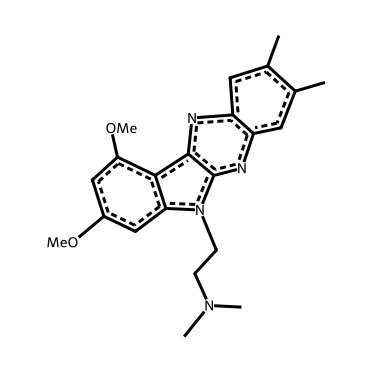 COc1cc(OC)c2c3nc4cc(C)c(C)cc4nc3n(CCN(C)C)c2c1